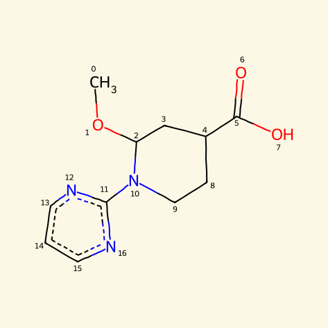 COC1CC(C(=O)O)CCN1c1ncccn1